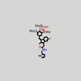 COc1cc(/C=C2/C(C)=C(CC(=O)NCc3cccn3C)c3cc(F)ccc32)cc(OC)c1OP(=O)(O)OC